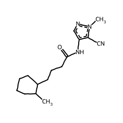 CC1CCCCC1CCCC(=O)Nc1cnn(C)c1C#N